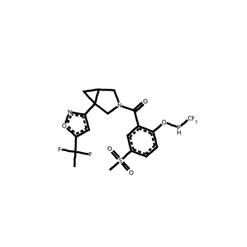 CC(F)(F)c1cc(C23CC2CN(C(=O)c2cc(S(C)(=O)=O)ccc2OPC(F)(F)F)C3)no1